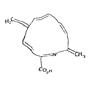 C=c1ccccc(=C)nc(C(=O)O)cc1